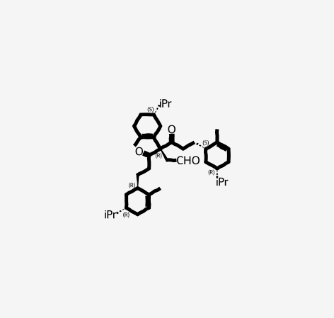 CC1=CC[C@H](C(C)C)C[C@H]1CCC(=O)[C@@](CC=O)(C(=O)CC[C@H]1C[C@@H](C(C)C)CC=C1C)C1=C(C)CC[C@H](C(C)C)C1